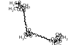 C=CC(=O)OCC(C)(COCC(=C)C=O)NC(=O)OCCCCCCCCCSCCCn1c(=O)n(CC)c(=O)n(CCCSCCCCCCCCCOC(=O)NC(C)(COC(=O)C=C)COC(=O)C=C)c1=O